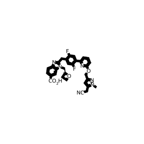 Cn1nc(COc2cccc(-c3cc(F)c(Cc4nc5ccc(C(=O)O)cc5n4C[C@@H]4CCO4)cc3F)n2)cc1CC#N